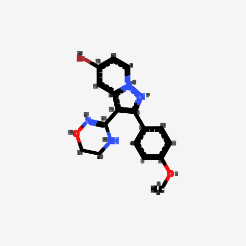 COc1ccc(-c2nn3ccc(Br)cc3c2C2=NOCCN2)cc1